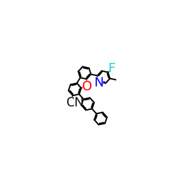 Cc1cnc(-c2cccc3c2oc2c(-c4ccc(-c5ccccc5)cc4)c(C#N)ccc23)cc1F